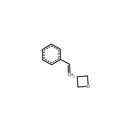 C1COC1.C=Cc1ccccc1